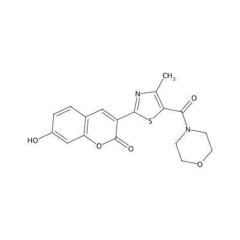 Cc1nc(-c2cc3ccc(O)cc3oc2=O)sc1C(=O)N1CCOCC1